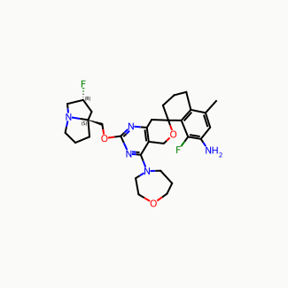 Cc1cc(N)c(F)c2c1CCCC21Cc2nc(OC[C@@]34CCCN3C[C@H](F)C4)nc(N3CCCOCC3)c2CO1